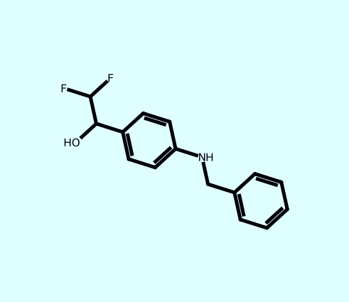 OC(c1ccc(NCc2ccccc2)cc1)C(F)F